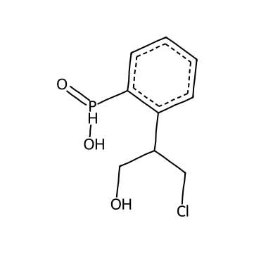 O=[PH](O)c1ccccc1C(CO)CCl